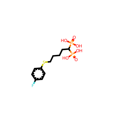 O=P(O)(O)C(CCCCSc1ccc(F)cc1)P(=O)(O)O